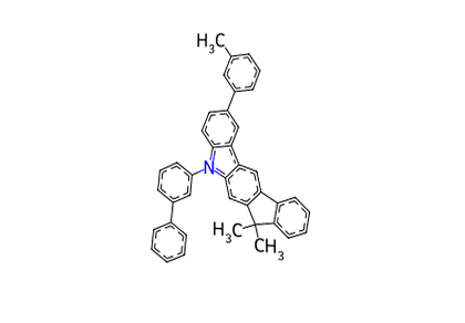 Cc1cccc(-c2ccc3c(c2)c2cc4c(cc2n3-c2cccc(-c3ccccc3)c2)C(C)(C)c2ccccc2-4)c1